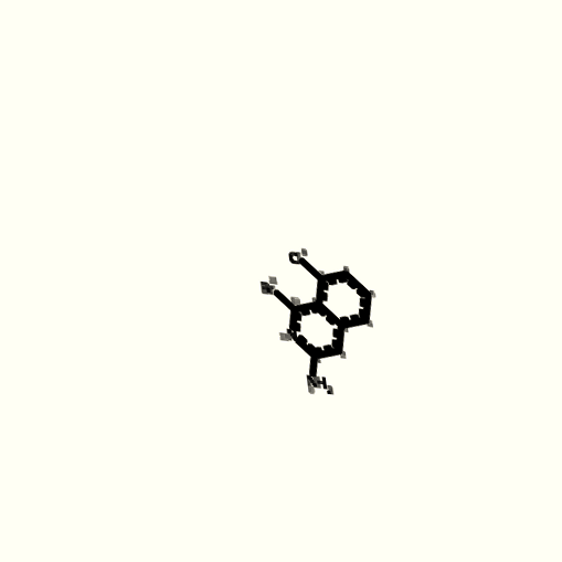 Nc1cc2cccc(Cl)c2c(Br)n1